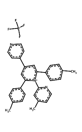 Cc1ccc(-c2cc(-c3ccncc3)cc(-c3ccc(C)cc3)[n+]2-c2cc(C)ccn2)cc1.F[B-](F)(F)F